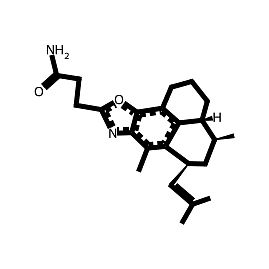 CC(C)=C[C@@H]1C[C@H](C)[C@H]2CCCc3c2c1c(C)c1nc(CCC(N)=O)oc31